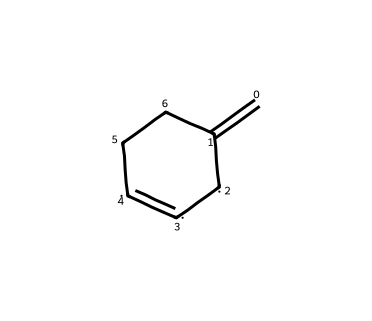 C=C1[CH][C]=[C]CC1